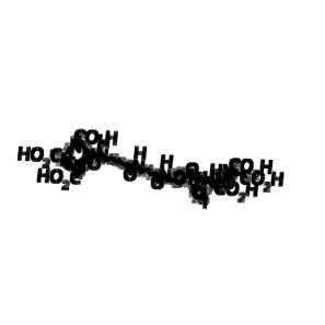 O=C(O)CC[C@@H](NC(=O)N[C@H](CCCCN(Cc1ccc(I)cc1)C(=O)c1ccc(CNC(=O)CCCCNC(=O)CCCCCCNC(=O)CN2CCN(CC(=O)O)CCN(CC(=O)O)CCN(CC(=O)O)CC2)cc1)C(=O)O)C(=O)O